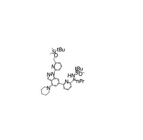 CCC[C@H](N[S@+]([O-])C(C)(C)C)c1cccc(-c2cc(N3CCCCC3)c3cnn(-c4cccc(CO[Si](C)(C)C(C)(C)C)n4)c3c2)n1